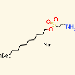 CCCCCCCCCCCCCCCCCCCOS(=O)(=O)CCN.[Na]